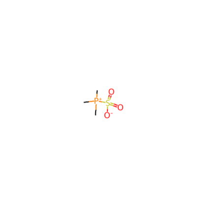 C[P+](C)(C)S(=O)(=O)[O-]